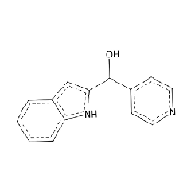 OC(c1ccncc1)c1cc2ccccc2[nH]1